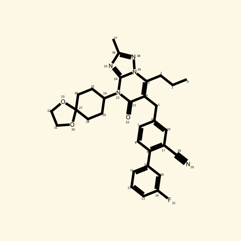 CCCc1c(Cc2ccc(-c3cccc(F)c3)c(C#N)c2)c(=O)n(C2CCC3(CC2)OCCO3)c2nc(C)nn12